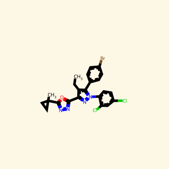 CCc1c(-c2nnc(C3(C)CC3)o2)nn(-c2ccc(Cl)cc2Cl)c1-c1ccc(Br)cc1